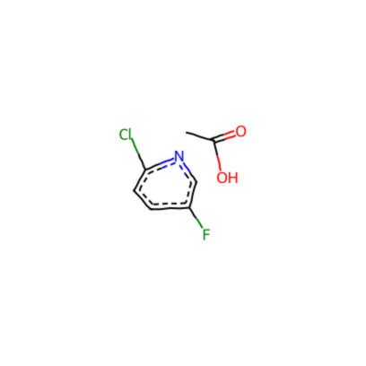 CC(=O)O.Fc1ccc(Cl)nc1